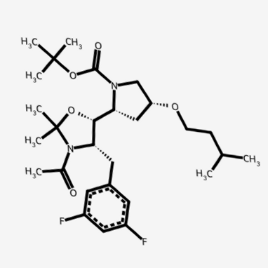 CC(=O)N1[C@@H](Cc2cc(F)cc(F)c2)[C@@H]([C@H]2C[C@@H](OCCC(C)C)CN2C(=O)OC(C)(C)C)OC1(C)C